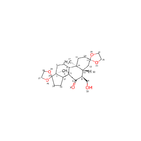 C[C@]12CCC3C(C(=O)[C@H](CO)[C@H]4CC5(CC[C@]34C)OCCO5)C1CCC21OCCO1